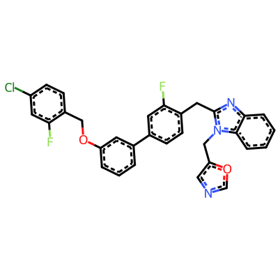 Fc1cc(Cl)ccc1COc1cccc(-c2ccc(Cc3nc4ccccc4n3Cc3cnco3)c(F)c2)c1